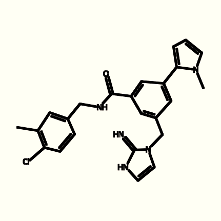 Cc1cc(CNC(=O)c2cc(Cn3cc[nH]c3=N)cc(-c3cccn3C)c2)ccc1Cl